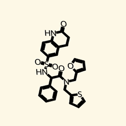 O=C1CCc2cc(S(=O)(=O)NC(C(=O)N(Cc3ccco3)Cc3cccs3)c3ccccc3)ccc2N1